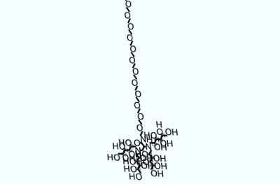 CC(=O)CCOCCOCCOCCOCCOCCOCCOCCOCCOCCOCCOCCOCCNC(=O)C(CN(C[C@@H](O)[C@H](O)[C@@H](O)[C@@H](O)CO)C[C@@H](O)[C@H](O)[C@@H](O)[C@@H](O)CO)N(C[C@H](O)[C@@H](O)[C@H](O)[C@H](O)CO)C[C@H](O)[C@@H](O)[C@H](O)[C@H](O)CO